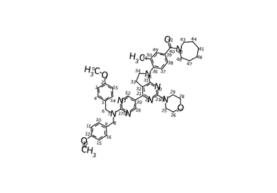 COc1ccc(CN(Cc2ccc(OC)cc2)c2ncc(-c3nc(N4CCOCC4)nc4c3CCN4c3ccc(C(=O)N4CCCCCC4)cc3C)cn2)cc1